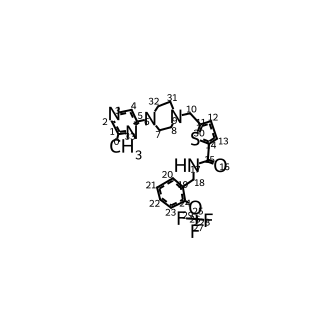 Cc1cncc(N2CCN(Cc3ccc(C(=O)NCc4ccccc4OC(F)(F)F)s3)CC2)n1